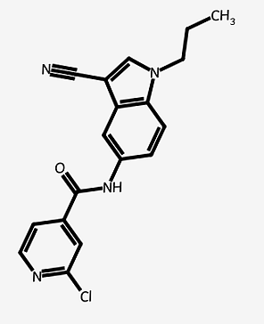 CCCn1cc(C#N)c2cc(NC(=O)c3ccnc(Cl)c3)ccc21